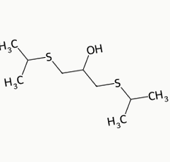 CC(C)SCC(O)CSC(C)C